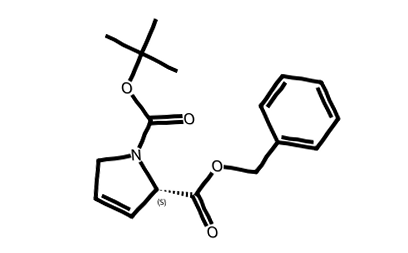 CC(C)(C)OC(=O)N1CC=C[C@H]1C(=O)OCc1ccccc1